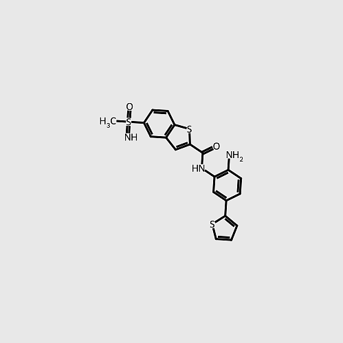 CS(=N)(=O)c1ccc2sc(C(=O)Nc3cc(-c4cccs4)ccc3N)cc2c1